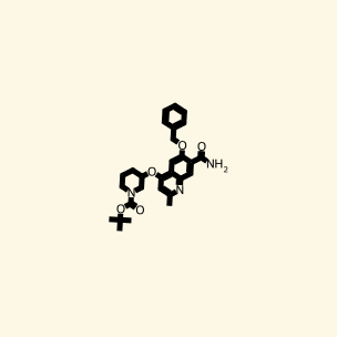 Cc1cc(OC2CCCN(C(=O)OC(C)(C)C)C2)c2cc(OCc3ccccc3)c(C(N)=O)cc2n1